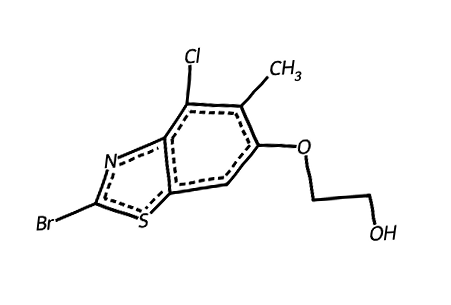 Cc1c(OCCO)cc2sc(Br)nc2c1Cl